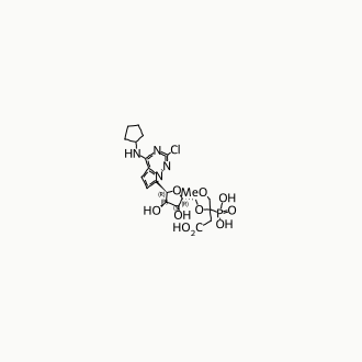 COCC(CC(=O)O)(OC[C@H]1O[C@H](c2ccc3c(NC4CCCC4)nc(Cl)nn23)[C@H](O)[C@@H]1O)P(=O)(O)O